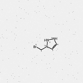 BrCN1C=CNN1